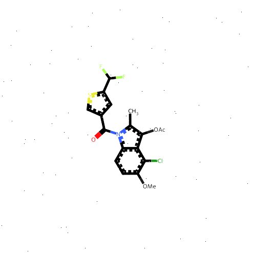 COc1ccc2c(c1Cl)c(OC(C)=O)c(C)n2C(=O)c1csc(C(F)F)c1